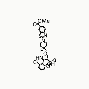 COC(=O)c1ccc2nc(N3CCC(F)(COC/C(C(=N)c4c(Cl)cccc4Cl)=C(/O)C4CC4)CC3)sc2c1